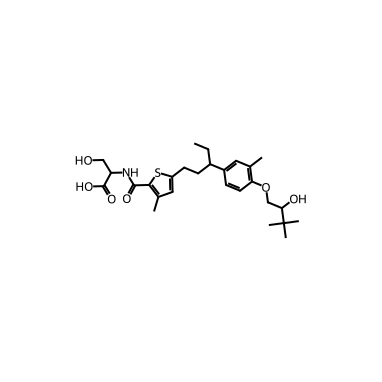 CCC(CCc1cc(C)c(C(=O)NC(CO)C(=O)O)s1)c1ccc(OCC(O)C(C)(C)C)c(C)c1